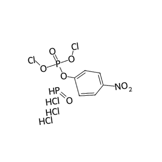 Cl.Cl.Cl.O=P.O=[N+]([O-])c1ccc(OP(=O)(OCl)OCl)cc1